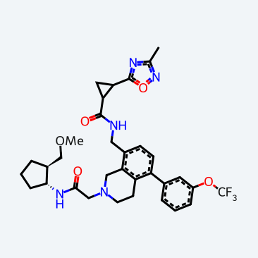 COC[C@@H]1CCC[C@H]1NC(=O)CN1CCc2c(-c3cccc(OC(F)(F)F)c3)ccc(CNC(=O)C3CC3c3nc(C)no3)c2C1